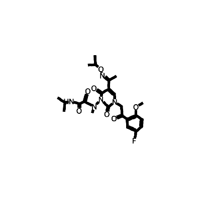 COc1ccc(F)cc1C(=O)Cn1cc(/C(C)=N/OC(C)C)c(=O)n(N(C)C(=O)C(=O)NC(C)C)c1=O